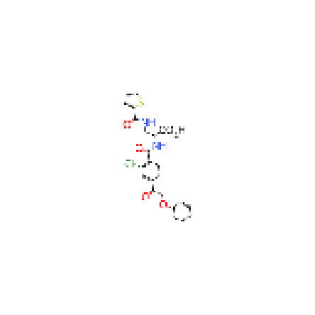 O=C(COc1ccccc1)c1ccc(C(=O)NC(CNC(=O)c2cccs2)C(=O)O)c(Cl)c1